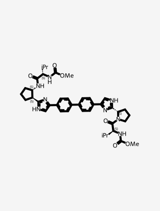 COC(=O)N[C@H](C(=O)N[C@H]1CCC[C@@H]1c1nc(-c2ccc(-c3ccc(-c4c[nH]c([C@@H]5CCCN5C(=O)[C@@H](NC(=O)OC)C(C)C)n4)cc3)cc2)c[nH]1)C(C)C